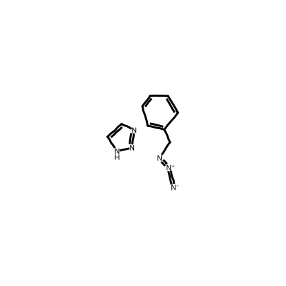 [N-]=[N+]=NCc1ccccc1.c1c[nH]nn1